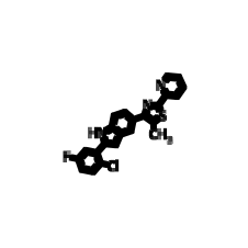 Cc1sc(-c2ccccn2)nc1-c1ccc2[nH]c(-c3cc(F)ccc3Cl)cc2c1